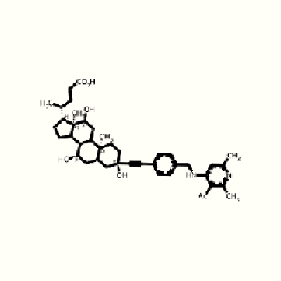 CC(=O)c1c(NCc2ccc(C#C[C@@]3(O)CC[C@@]4(C)C(C[C@@H](O)C5C4C[C@H](O)[C@@]4(C)C5CC[C@@H]4C(C)CCC(=O)O)C3)cc2)cc(C)nc1C